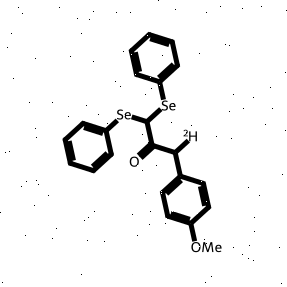 [2H]C(C(=O)C([Se]c1ccccc1)[Se]c1ccccc1)c1ccc(OC)cc1